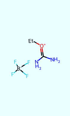 CC[O+]=C(N)N.F[B-](F)(F)F